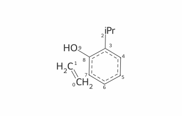 C=C.CC(C)c1ccccc1O